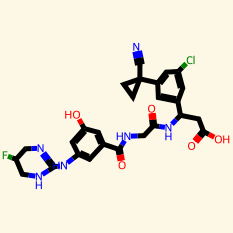 N#CC1(c2cc(Cl)cc(C(CC(=O)O)NC(=O)CNC(=O)c3cc(O)cc(NC4=NCC(F)CN4)c3)c2)CC1